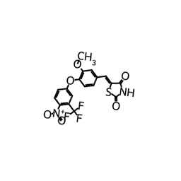 COc1cc(/C=C2\SC(=O)NC2=O)ccc1Oc1ccc([N+](=O)[O-])c(C(F)(F)F)c1